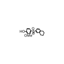 COc1cc(O)ccc1S(=O)(=O)c1ccc2c(c1)CCCC2